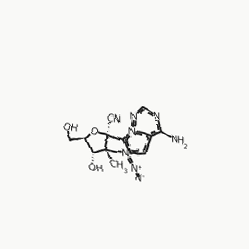 C[C@@]1(N=[N+]=[N-])[C@H](O)[C@@H](CO)O[C@@]1(C#N)c1ccc2c(N)ncnn12